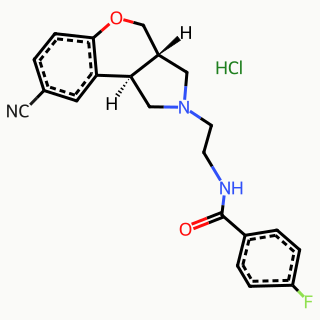 Cl.N#Cc1ccc2c(c1)[C@@H]1CN(CCNC(=O)c3ccc(F)cc3)C[C@H]1CO2